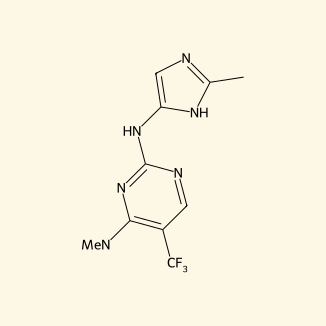 CNc1nc(Nc2cnc(C)[nH]2)ncc1C(F)(F)F